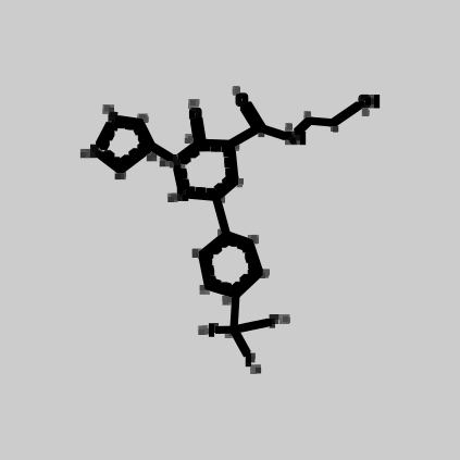 O=C(NCCO)c1cc(-c2ccc(C(F)(F)F)cc2)nn(-c2cnsc2)c1=O